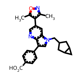 Cc1noc(C)c1-c1cnc2c(-c3ccc(C(=O)O)cc3)cn(CC3CC4CC4C3)c2c1